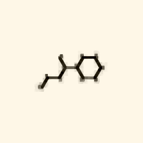 CCCC(C)C1C[CH]CCC1